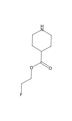 O=C(OCCF)C1CCNCC1